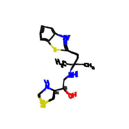 CC(C)(Cc1nc2ccccc2s1)NC[C@@H](O)[C@H]1CSCN1